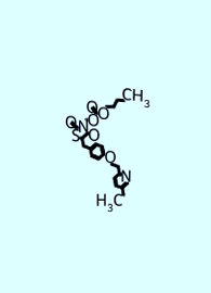 CCCCCOC(=O)OCN1C(=O)SC(Cc2ccc(OCCc3ccc(CC)cn3)cc2)C1=O